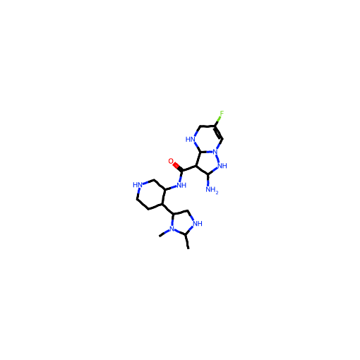 CC1NCC(C2CCNCC2NC(=O)C2C(N)NN3C=C(F)CNC23)N1C